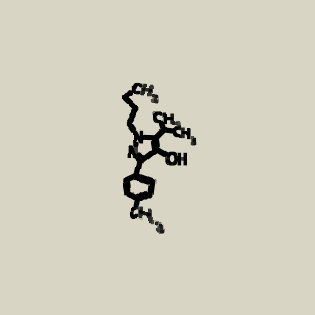 CCCCn1nc(-c2ccc(C)cc2)c(O)c1C(C)C